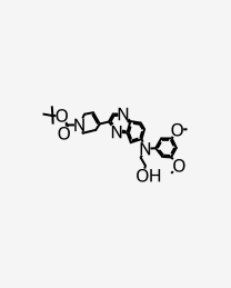 COc1cc(OC)cc(N(CCO)c2ccc3ncc(C4=CCN(C(=O)OC(C)(C)C)CC4)nc3c2)c1